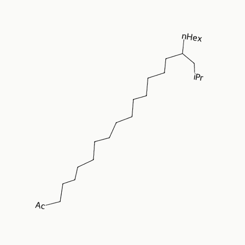 CCCCCCC(CCCCCCCCCCCCCCC(C)=O)CC(C)C